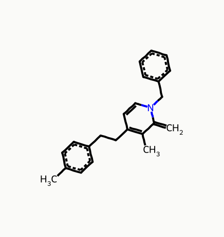 C=C1C(C)=C(CCc2ccc(C)cc2)C=CN1Cc1ccccc1